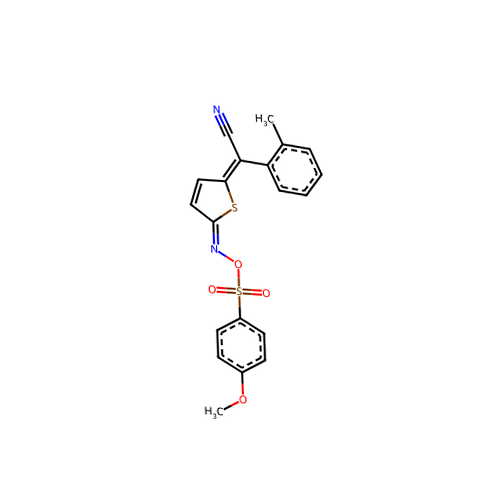 COc1ccc(S(=O)(=O)ON=C2C=CC(=C(C#N)c3ccccc3C)S2)cc1